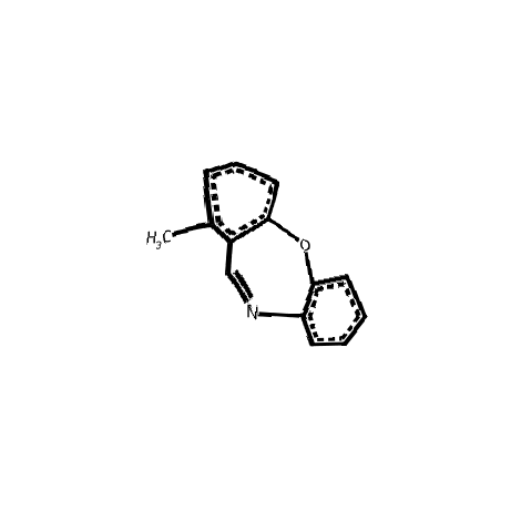 Cc1cccc2c1C=Nc1ccccc1O2